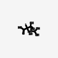 O=C(O)C(Br)(I)C(=O)O.OB(O)O.[LiH]